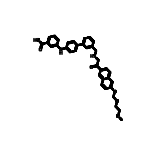 COCCOCOc1ccc2cc(C(=O)CNCc3cccc(-c4ccc(Nc5cccc(C(=O)O)c5)cc4)c3)ccc2c1